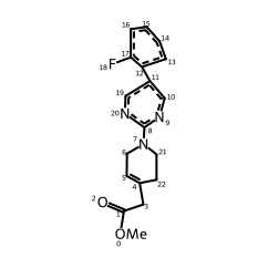 COC(=O)CC1=CCN(c2ncc(-c3ccccc3F)cn2)CC1